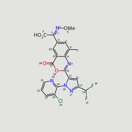 CO/N=C(/C(=O)O)c1cc(C)c2nc(-c3cc(C(F)F)nn3-c3ncccc3Cl)oc(=O)c2c1